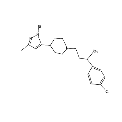 CCn1nc(C)cc1C1CCN(CCC(O)c2ccc(Cl)cc2)CC1